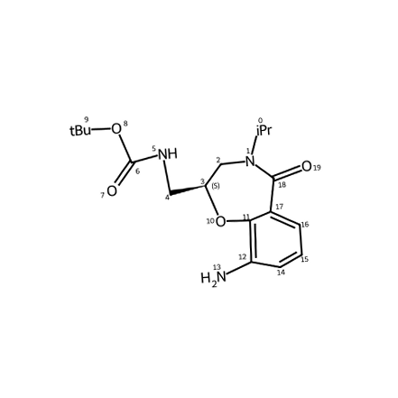 CC(C)N1C[C@H](CNC(=O)OC(C)(C)C)Oc2c(N)cccc2C1=O